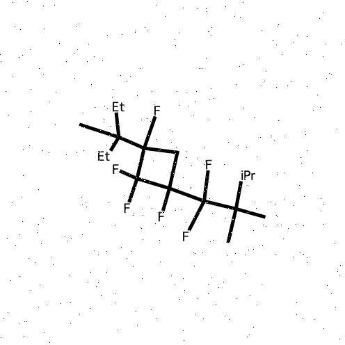 CCC(C)(CC)C1(F)CC(F)(C(F)(F)C(C)(C)C(C)C)C1(F)F